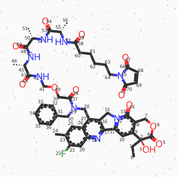 CC[C@@]1(O)C(=O)OCc2c1cc1n(c2=O)Cc2c-1nc1cc(F)c(C)cc1c2CN(Cc1ccccc1)C(=O)COCNC(=O)[C@H](C)NC(=O)[C@H](C)NC(=O)[C@H](C)NC(=O)CCCCCN1C(=O)C=CC1=O